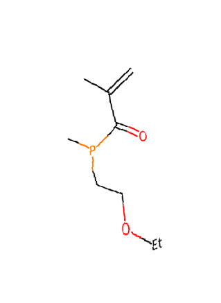 C=C(C)C(=O)P(C)CCOCC